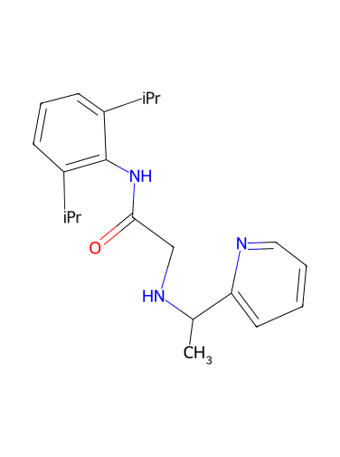 CC(C)c1cccc(C(C)C)c1NC(=O)CNC(C)c1ccccn1